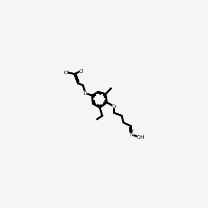 CCc1cc(OCC=C(Cl)Cl)cc(C)c1OCCC/C=N/O